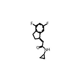 O=C(C=C1CCc2c(F)cc(F)cc21)NC1CC1